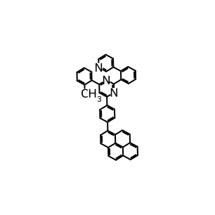 Cc1ccccc1-c1cc(-c2ccc(-c3ccc4ccc5cccc6ccc3c4c56)cc2)nc(-c2ccccc2-c2cccnc2)n1